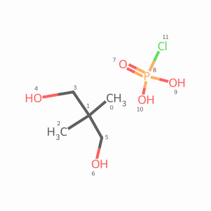 CC(C)(CO)CO.O=P(O)(O)Cl